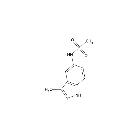 Cc1n[nH]c2ccc(NS(C)(=O)=O)cc12